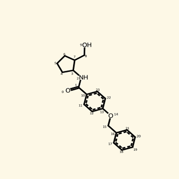 O=C(NC1CCCC1CO)c1ccc(OCc2ccccc2)cc1